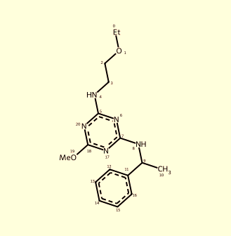 CCOCCNc1nc(NC(C)c2ccccc2)nc(OC)n1